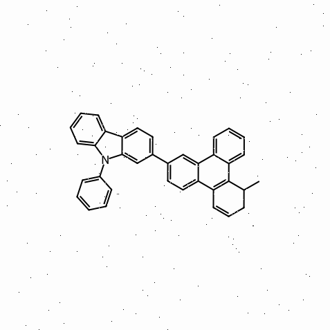 CC1CC=Cc2c1c1ccccc1c1cc(-c3ccc4c5ccccc5n(-c5ccccc5)c4c3)ccc21